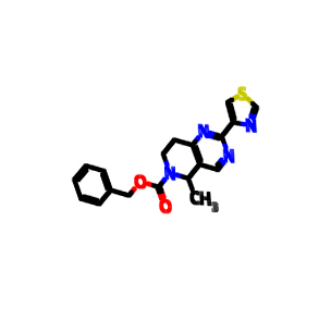 CC1c2cnc(-c3cscn3)nc2CCN1C(=O)OCc1ccccc1